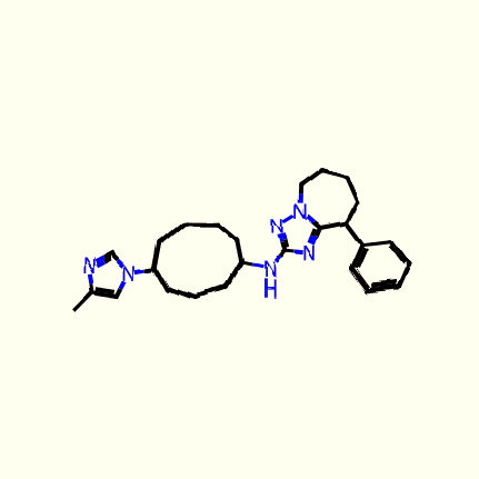 Cc1cn(C2CCCCC(Nc3nc4n(n3)CCCCC4c3ccccc3)CCC2)cn1